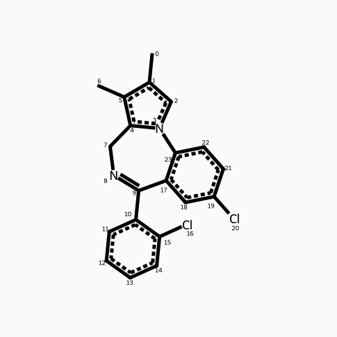 Cc1cn2c(c1C)CN=C(c1ccccc1Cl)c1cc(Cl)ccc1-2